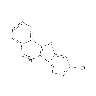 Clc1ccc2c(c1)oc1c3ccccc3cnc21